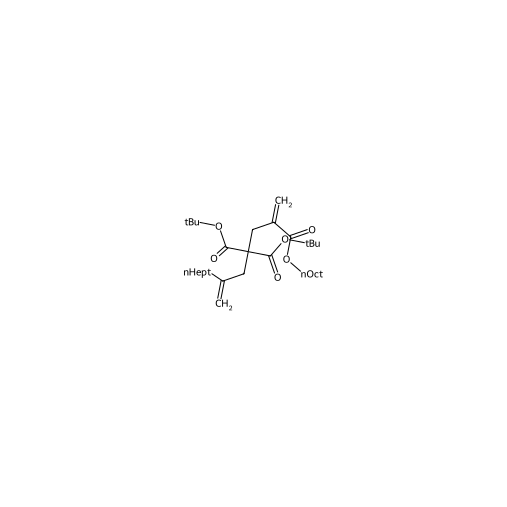 C=C(CCCCCCC)CC(CC(=C)C(=O)OCCCCCCCC)(C(=O)OC(C)(C)C)C(=O)OC(C)(C)C